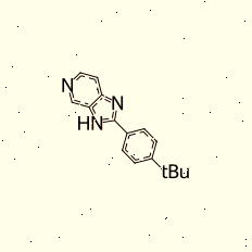 CC(C)(C)c1ccc(-c2nc3ccncc3[nH]2)cc1